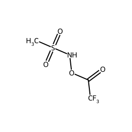 CS(=O)(=O)NOC(=O)C(F)(F)F